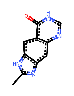 Cc1nc2cc3nc[nH]c(=O)c3cc2[nH]1